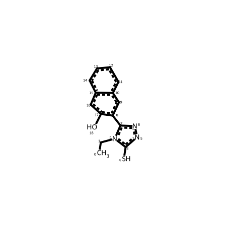 CCn1c(S)nnc1-c1cc2ccccc2cc1O